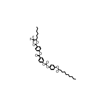 CCCCCCCCCC(=O)Oc1ccc(OC(=O)Oc2ccc(C(=O)Oc3ccc(C(=O)OC(CCCCCC)C(F)(F)F)cc3)cc2)cc1